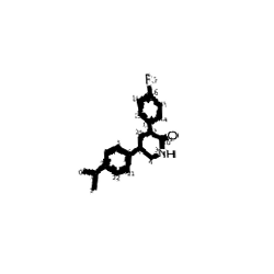 CC(C)c1ccc(C2CNC(=O)C(c3ccc(F)cc3)C2)cc1